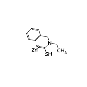 CCN(Cc1ccccc1)C(=S)S.[Zn]